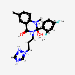 Cc1ccc2c(c1)C(=O)N(CCCn1cncn1)C(O)(c1ccc(F)cc1F)N2C